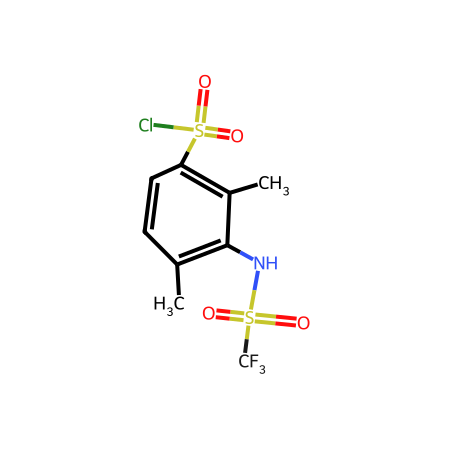 Cc1ccc(S(=O)(=O)Cl)c(C)c1NS(=O)(=O)C(F)(F)F